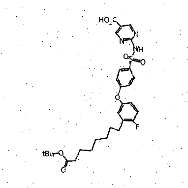 CC(C)(C)OC(=O)CCCCCCCc1cc(Oc2ccc(S(=O)(=O)Nc3ncc(C(=O)O)cn3)cc2)ccc1F